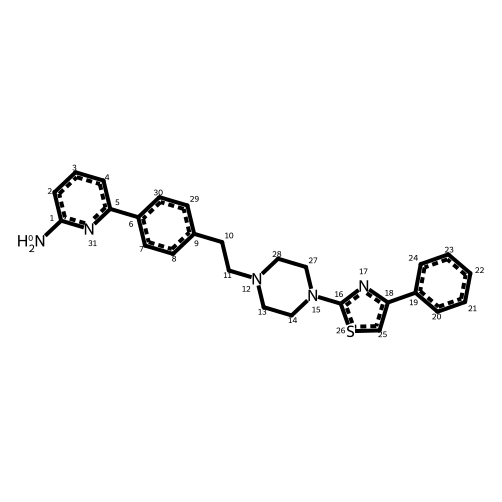 Nc1cccc(-c2ccc(CCN3CCN(c4nc(-c5ccccc5)cs4)CC3)cc2)n1